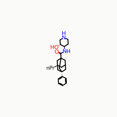 CCC[C@]12CC3CC(C(=O)N[C@@H]4CCNC[C@H]4O)(C1)C[C@@](c1ccccc1)(C3)C2